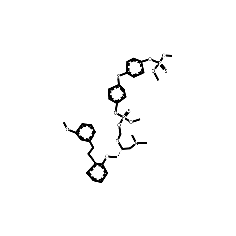 COc1cccc(CCc2ccccc2OC[C@@H](CN(C)C)OCOP(=S)(OC)Oc2ccc(Sc3ccc(OP(=S)(OC)OC)cc3)cc2)c1